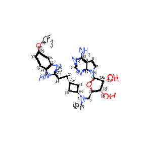 CC(C)N(C[C@H]1O[C@@H](n2ccc3c(N)ncnc32)[C@H](O)[C@@H]1O)[C@H]1C[C@H](CCc2nc3cc(OC(F)(F)F)ccc3[nH]2)C1